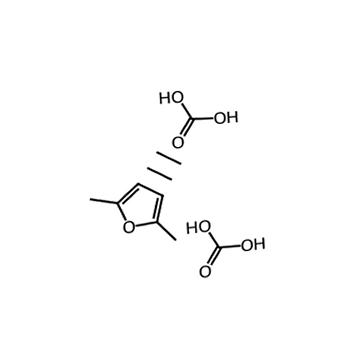 CC.CC.Cc1ccc(C)o1.O=C(O)O.O=C(O)O